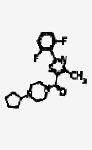 Cc1nc(-c2c(F)cccc2F)sc1C(=O)N1CCN(C2CCCC2)CC1